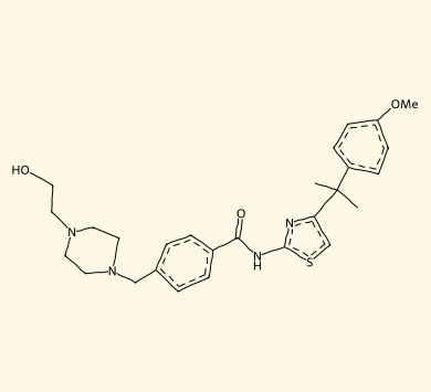 COc1ccc(C(C)(C)c2csc(NC(=O)c3ccc(CN4CCN(CCO)CC4)cc3)n2)cc1